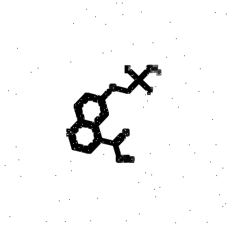 COC(=O)c1ccnc2ccc(OCC(C)(F)F)cc12